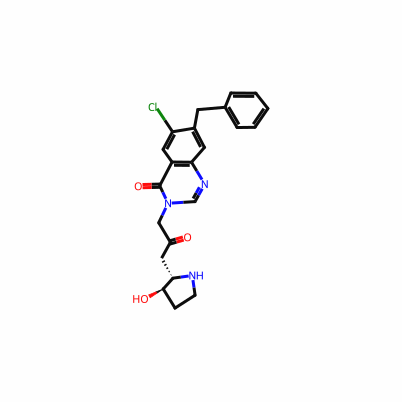 O=C(C[C@@H]1NCC[C@H]1O)Cn1cnc2cc(Cc3ccccc3)c(Cl)cc2c1=O